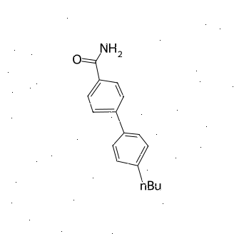 CCCCc1ccc(-c2ccc(C(N)=O)cc2)cc1